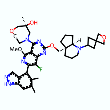 COc1nc(-c2c(C)c(C)cc3[nH]ncc23)c(F)c2nc(OC[C@]34CCC[C@H]3N(C3CC5(COC5)C3)CCC4)nc(N3CCOC[C@@](C)(O)C3)c12